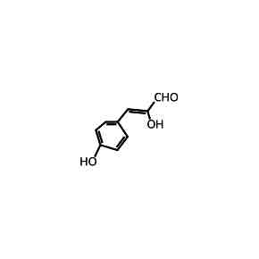 O=CC(O)=Cc1ccc(O)cc1